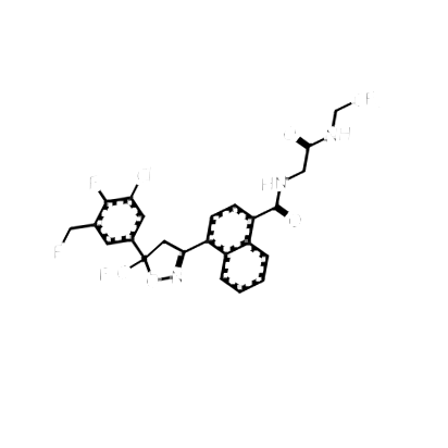 O=C(CNC(=O)c1ccc(C2=NOC(c3cc(Cl)c(F)c(CF)c3)(C(F)(F)F)C2)c2ccccc12)NCC(F)(F)F